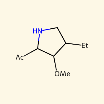 CCC1CNC(C(C)=O)C1OC